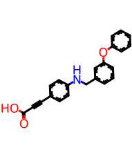 O=C(O)C#Cc1ccc(NCc2cccc(Oc3ccccc3)c2)cc1